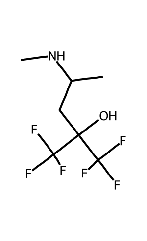 CNC(C)CC(O)(C(F)(F)F)C(F)(F)F